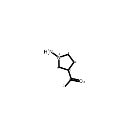 CC(=O)C1CCN(N)C1